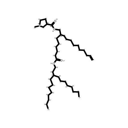 C=CCCCCCCCCC(CCCCCC(=O)OCCC(CCCCCCCC)CCCCCCCC)COC(=O)C1CCN(C)C1